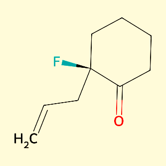 C=CC[C@]1(F)CCCCC1=O